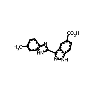 Cc1ccc2nc(-c3n[nH]c4ccc(C(=O)O)cc34)[nH]c2c1